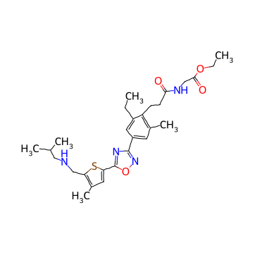 CCOC(=O)CNC(=O)CCc1c(C)cc(-c2noc(-c3cc(C)c(CNCC(C)C)s3)n2)cc1CC